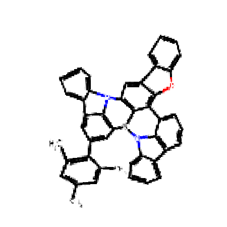 Cc1cc(C)c(-c2cc3c4c(c2)c2ccccc2n4-c2cc4c(oc5ccccc54)c4c2B3n2c3ccccc3c3cccc-4c32)c(C)c1